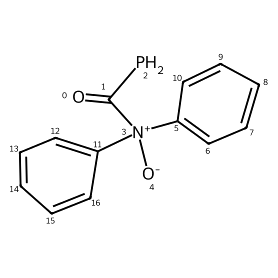 O=C(P)[N+]([O-])(c1ccccc1)c1ccccc1